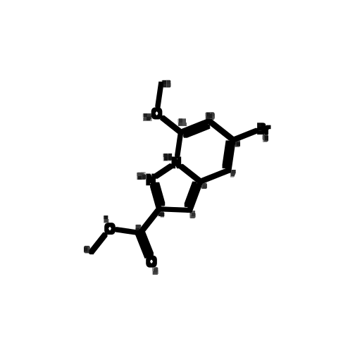 COC(=O)c1cc2cc(Br)cc(OC)n2n1